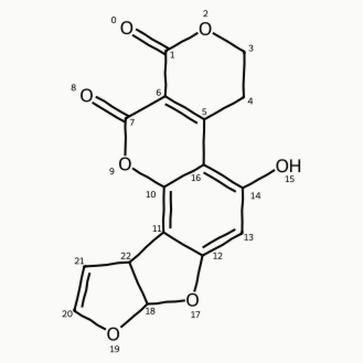 O=C1OCCc2c1c(=O)oc1c3c(cc(O)c21)OC1OC=CC31